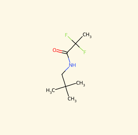 CC(C)(C)CNC(=O)C(C)(F)F